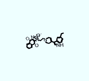 CCc1ccc2[nH]cc(C3=CCN(CCn4c5c(n[n+]4[O-])C(=O)c4ccccc4C5=O)CC3)c2c1